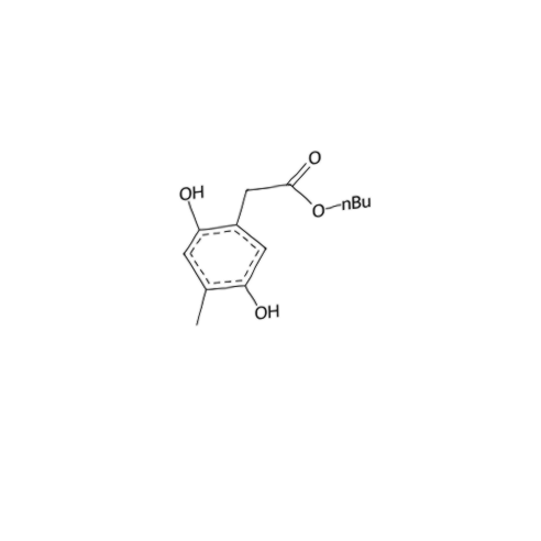 CCCCOC(=O)Cc1cc(O)c(C)cc1O